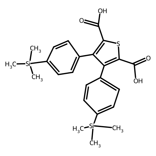 C[Si](C)(C)c1ccc(-c2c(C(=O)O)sc(C(=O)O)c2-c2ccc([Si](C)(C)C)cc2)cc1